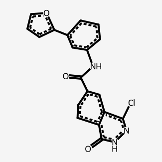 O=C(Nc1cccc(-c2ccco2)c1)c1ccc2c(=O)[nH]nc(Cl)c2c1